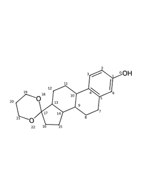 Oc1ccc2c(c1)CCC1C2CCC2C1CCC21OCCCO1